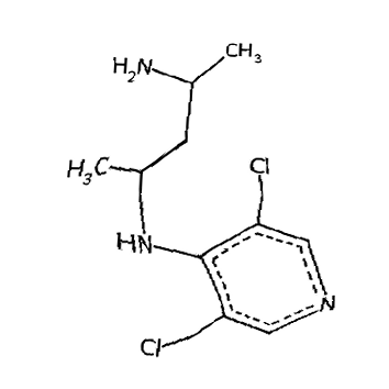 CC(N)CC(C)Nc1c(Cl)cncc1Cl